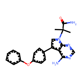 CC(C)(C(N)=O)n1cc(-c2ccc(Oc3ccccc3)cc2)c2c(N)ncnc21